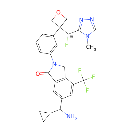 Cn1cnnc1[C@H](F)C1(c2cccc(N3Cc4c(cc(C(N)C5CC5)cc4C(F)(F)F)C3=O)c2)COC1